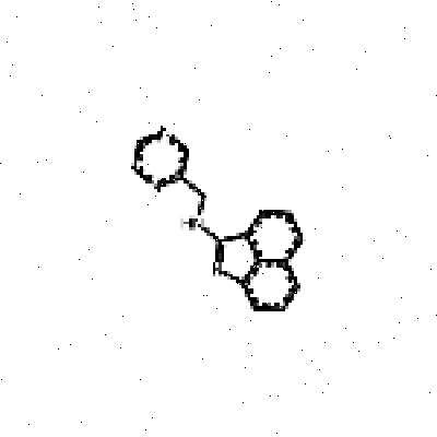 c1cc2c3c(cccc3c1)C(NCc1cnccn1)=N2